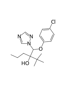 CCCC(O)(C(Oc1ccc(Cl)cc1)n1cncn1)C(C)(C)C